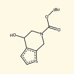 CC(C)(C)OC(=O)N1Cc2sccc2C(O)C1